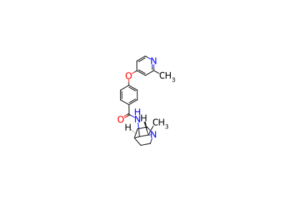 Cc1cc(Oc2ccc(C(=O)N[C@@H]3C4CCN(CC4)[C@H]3C)cc2)ccn1